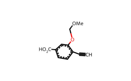 C#Cc1ccc(C(=O)O)cc1OCOC